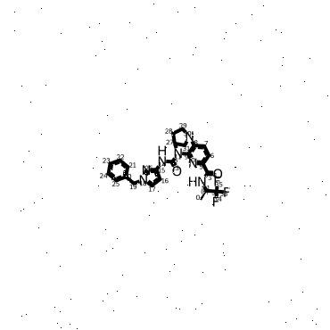 C[C@@H](NC(=O)c1ccc2c(n1)N(C(=O)Nc1ccn(Cc3ccccc3)n1)C1CCN2C1)C(F)(F)F